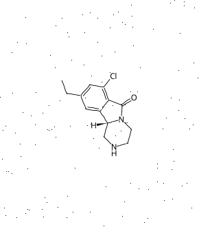 CCc1cc(Cl)c2c(c1)[C@H]1CNCCN1C2=O